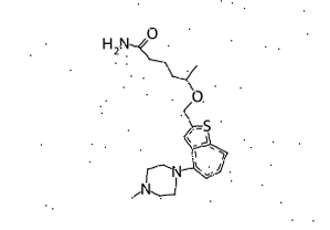 CC(CCCC(N)=O)OCc1cc2c(N3CCN(C)CC3)cccc2s1